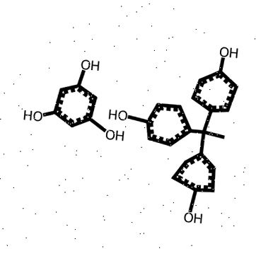 CC(c1ccc(O)cc1)(c1ccc(O)cc1)c1ccc(O)cc1.Oc1cc(O)cc(O)c1